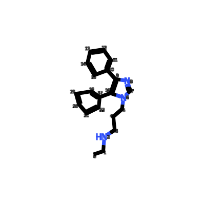 CCNCCCn1cnc(-c2ccccc2)c1-c1ccccc1